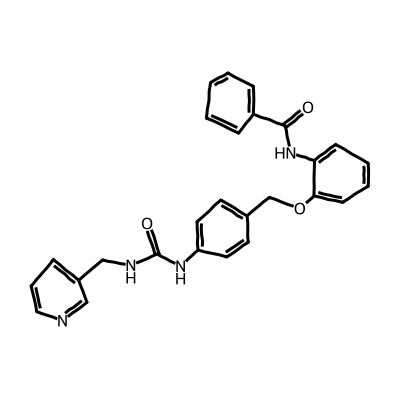 O=C(NCc1cccnc1)Nc1ccc(COc2ccccc2NC(=O)c2ccccc2)cc1